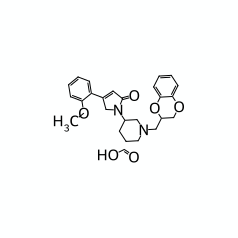 COc1ccccc1C1=CC(=O)N(C2CCCN(CC3COc4ccccc4O3)C2)C1.O=CO